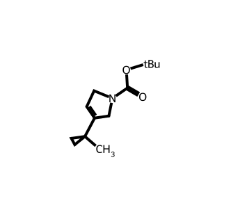 CC(C)(C)OC(=O)N1CC=C(C2(C)CC2)C1